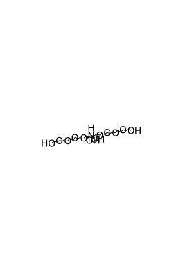 OCCOCCOCCOCCOCC(O)NC(O)COCCOCCOCCOCCO